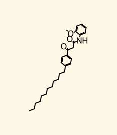 CCCCCCCCCCCCc1ccc(C(=O)CC(=O)Nc2ccccc2OC)cc1